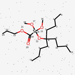 CCCCC(CCCC)(CCCC)O[Si](OC)(OC)C(=O)OCCC